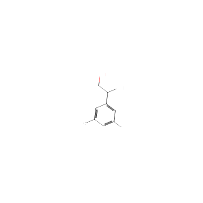 [CH2]C(CO)c1cc(CC)cc([N+](=O)[O-])c1